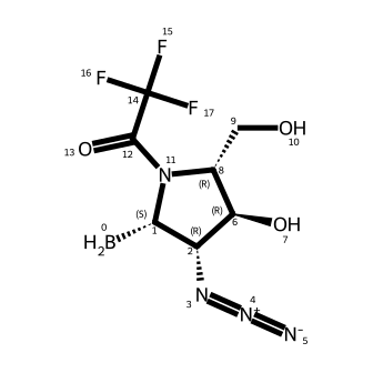 B[C@H]1[C@@H](N=[N+]=[N-])[C@H](O)[C@@H](CO)N1C(=O)C(F)(F)F